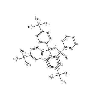 CC(C)(C)c1ccc(P(=NP(=O)(c2ccccc2)c2ccccc2)(c2ccc(C(C)(C)C)cc2)c2ccc(C(C)(C)C)cc2)cc1